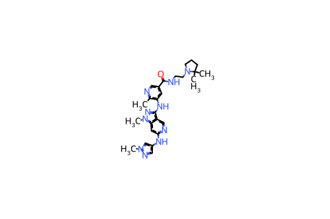 Cc1ncc(C(=O)NCCN2CCCC2(C)C)cc1Nc1nn(C)c2cc(Nc3cnn(C)c3)ncc12